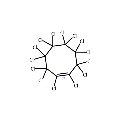 Cl/C1=C(\Cl)C(Cl)(Cl)C(Cl)(Cl)C(Cl)(Cl)C(Cl)(Cl)C(Cl)(Cl)C1(Cl)Cl